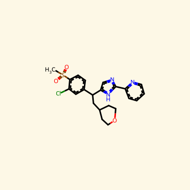 CS(=O)(=O)c1ccc(C(CC2CCOCC2)c2cnc(-c3ccccn3)[nH]2)cc1Cl